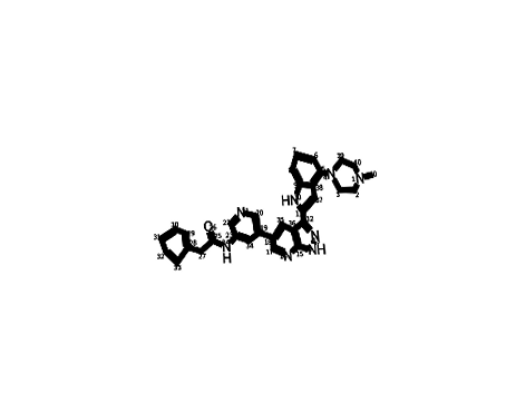 CN1CCN(c2cccc3[nH]c(-c4n[nH]c5ncc(-c6cncc(NC(=O)Cc7ccccc7)c6)cc45)cc23)CC1